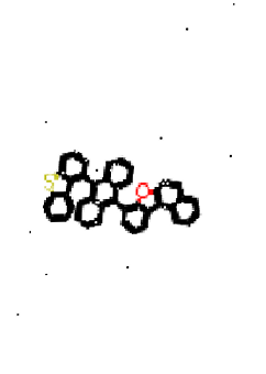 c1ccc2c(c1)ccc1oc3c(-c4c5ccccc5c(-c5cccc6sc7ccccc7c56)c5ccccc45)cccc3c12